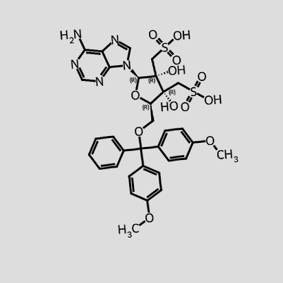 COc1ccc(C(OC[C@H]2O[C@@H](n3cnc4c(N)ncnc43)[C@@](O)(CS(=O)(=O)O)[C@@]2(O)CS(=O)(=O)O)(c2ccccc2)c2ccc(OC)cc2)cc1